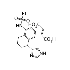 CCS(=O)(=O)Nc1cccc2c1CCCC2c1c[nH]cn1.O=C(O)C=CC(=O)O